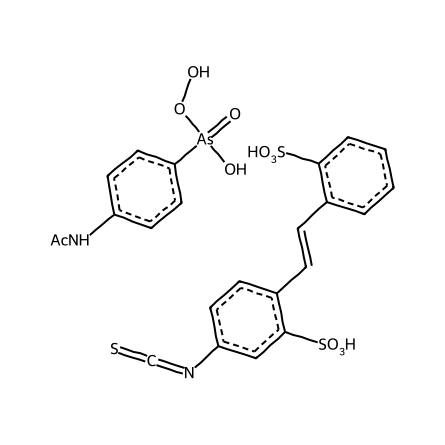 CC(=O)Nc1ccc([As](=O)(O)OO)cc1.O=S(=O)(O)c1ccccc1C=Cc1ccc(N=C=S)cc1S(=O)(=O)O